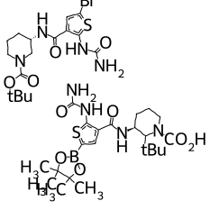 CC(C)(C)C1[C@@H](NC(=O)c2cc(B3OC(C)(C)C(C)(C)O3)sc2NC(N)=O)CCCN1C(=O)O.CC(C)(C)OC(=O)N1CCC[C@H](NC(=O)c2cc(Br)sc2NC(N)=O)C1